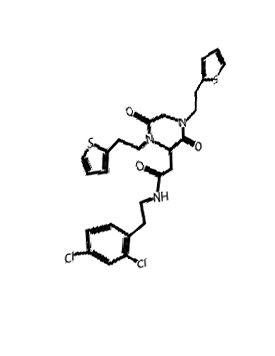 O=C(CC1C(=O)N(CCc2cccs2)CC(=O)N1CCc1cccs1)NCCc1ccc(Cl)cc1Cl